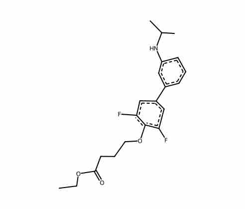 CCOC(=O)CCCOc1c(F)cc(-c2cccc(NC(C)C)c2)cc1F